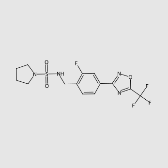 O=S(=O)(NCc1ccc(-c2noc(C(F)(F)F)n2)cc1F)N1CCCC1